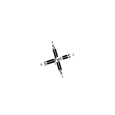 [S]=[Fe-6](=[S])(=[S])=[S]